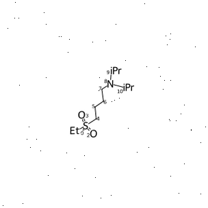 [CH2]CS(=O)(=O)CCCCN(C(C)C)C(C)C